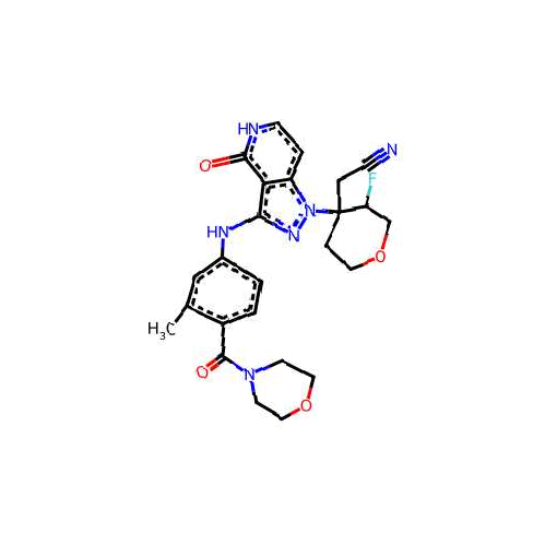 Cc1cc(Nc2nn(C3(CC#N)CCOCC3F)c3cc[nH]c(=O)c23)ccc1C(=O)N1CCOCC1